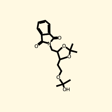 CC(C)(O)OCCC1OC(C)(C)OC1CN1C(=O)c2ccccc2C1=O